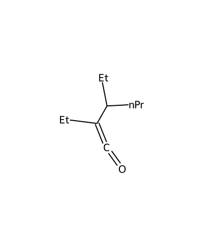 CCCC(CC)C(=C=O)CC